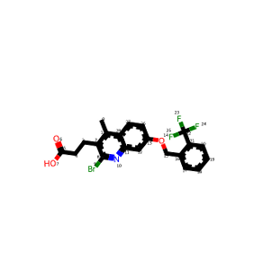 Cc1c(CCC(=O)O)c(Br)nc2cc(OCc3ccccc3C(F)(F)F)ccc12